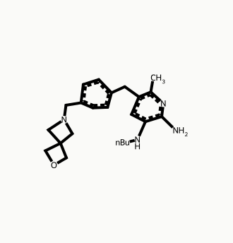 CCCCNc1cc(Cc2ccc(CN3CC4(COC4)C3)cc2)c(C)nc1N